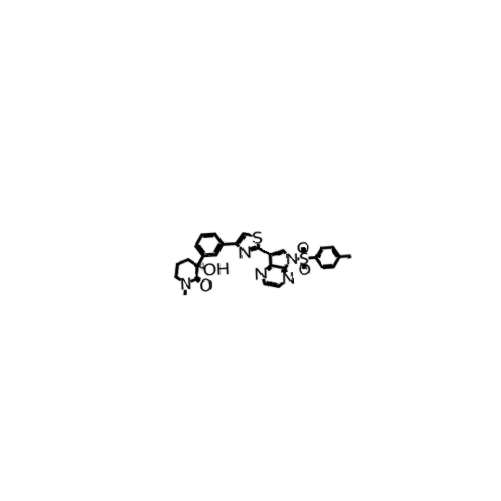 Cc1ccc(S(=O)(=O)n2cc(-c3nc(-c4cccc([C@]5(O)CCCN(C)C5=O)c4)cs3)c3nccnc32)cc1